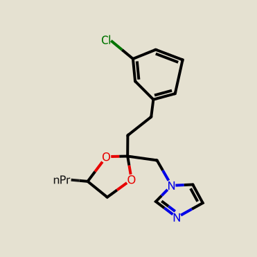 CCCC1COC(CCc2cccc(Cl)c2)(Cn2ccnc2)O1